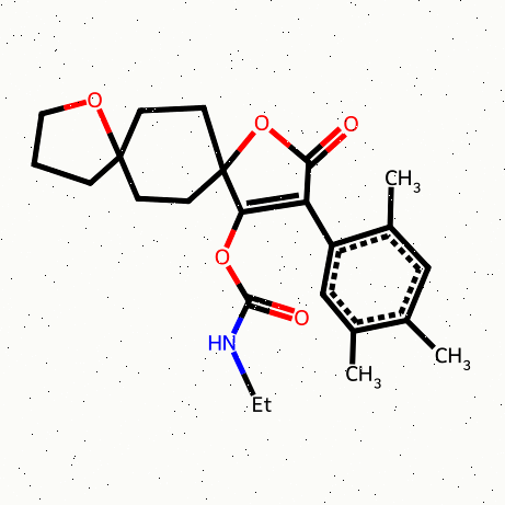 CCNC(=O)OC1=C(c2cc(C)c(C)cc2C)C(=O)OC12CCC1(CCCO1)CC2